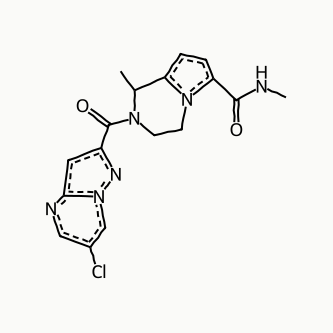 CNC(=O)c1ccc2n1CCN(C(=O)c1cc3ncc(Cl)cn3n1)C2C